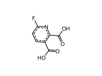 O=C(O)c1ccc(F)nc1C(=O)O